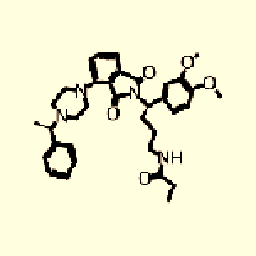 CCC(=O)NCCC[C@H](c1ccc(OC)c(OC)c1)N1C(=O)c2cccc(N3CCN([C@H](C)c4ccccc4)CC3)c2C1=O